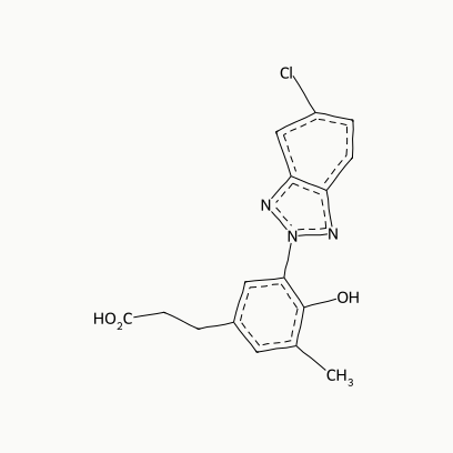 Cc1cc(CCC(=O)O)cc(-n2nc3ccc(Cl)cc3n2)c1O